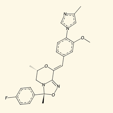 COc1cc(/C=C2\O[C@@H](C)CN3C2=NO[C@]3(C)c2ccc(F)cc2)ccc1-n1cnc(C)c1